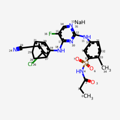 CCC(=O)NS(=O)(=O)c1cc(Nc2ncc(F)c(Nc3cc4c(C#N)c(Cl)c3CC4)n2)ccc1C.[NaH]